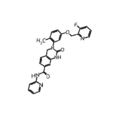 Cc1ccc(OCc2ncccc2F)cc1N1Cc2ccc(C(=O)Nc3ccccn3)cc2NC1=O